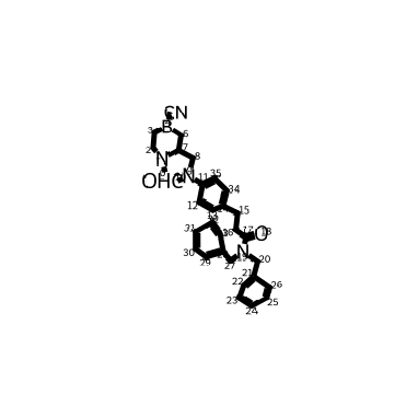 CN1CCB(C#N)CC1CN(C=O)c1ccc(CCC(=O)N(Cc2ccccc2)Cc2ccccc2)cc1